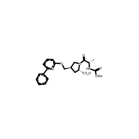 COC(=O)N[C@@H](C)C(=O)N1C[C@H](COc2cccc(-c3ccccc3)n2)C[C@H]1C(=O)O